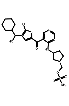 NS(=O)(=O)OC[C@@H]1CC[C@H](Nc2ncncc2C(=O)c2cc(C(O)C3CCCCC3)c(Cl)s2)C1